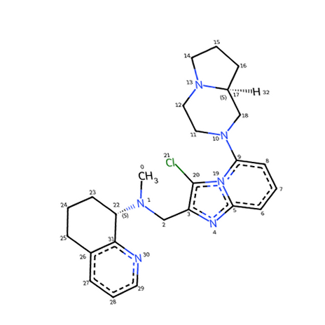 CN(Cc1nc2cccc(N3CCN4CCC[C@H]4C3)n2c1Cl)[C@H]1CCCc2cccnc21